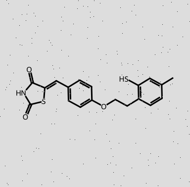 Cc1ccc(CCOc2ccc(/C=C3\SC(=O)NC3=O)cc2)c(S)c1